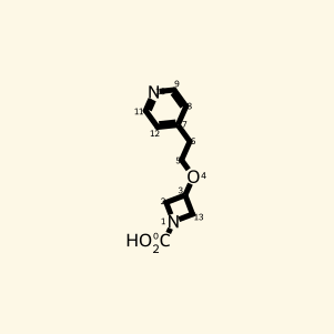 O=C(O)N1CC(OCCc2ccncc2)C1